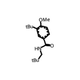 COc1ccc(C(=O)NCC(C)(C)C)cc1C(C)(C)C